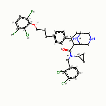 O=C(C1C2CNCC(C[C@@H]1c1ccc(CCCOc3c(F)ccc(F)c3Cl)cc1)N2)N(Cc1cccc(Cl)c1Cl)C1CC1